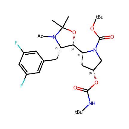 CC(=O)N1[C@@H](Cc2cc(F)cc(F)c2)[C@@H]([C@H]2C[C@@H](OC(=O)NC(C)(C)C)CN2C(=O)OC(C)(C)C)OC1(C)C